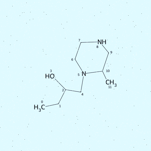 CCC(O)CN1CCNCC1C